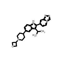 CC(C)c1c(-c2ccn3cnnc3c2)[nH]c2ccc(C3CCN(C4COC4)CC3)cc12